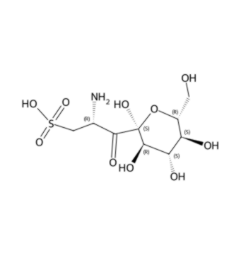 N[C@@H](CS(=O)(=O)O)C(=O)[C@@]1(O)O[C@H](CO)[C@@H](O)[C@H](O)[C@H]1O